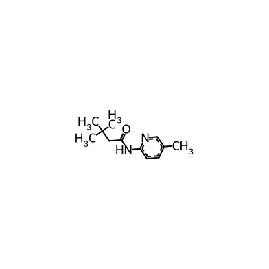 Cc1ccc(NC(=O)CC(C)(C)C)nc1